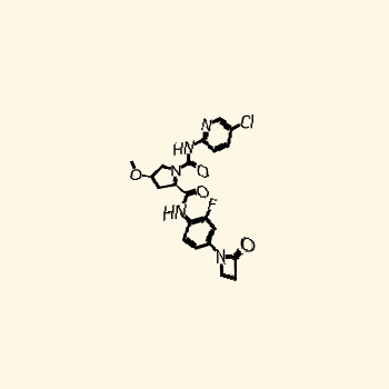 CO[C@@H]1C[C@H](C(=O)Nc2ccc(N3CCC3=O)cc2F)N(C(=O)Nc2ccc(Cl)cn2)C1